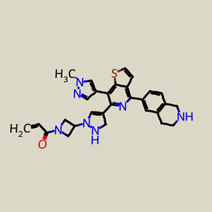 C=CC(=O)N1CC(N2C=C(c3nc(-c4ccc5c(c4)CCNC5)c4ccsc4c3-c3cnn(C)c3)CN2)C1